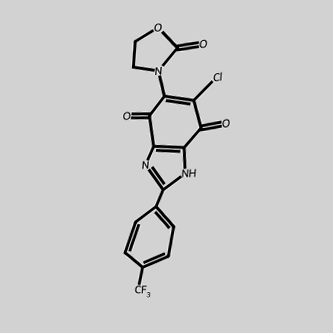 O=C1C(N2CCOC2=O)=C(Cl)C(=O)c2[nH]c(-c3ccc(C(F)(F)F)cc3)nc21